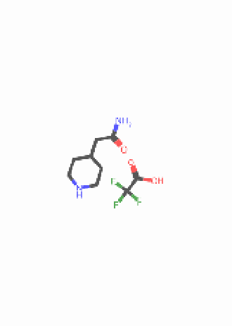 NC(=O)CC1CCNCC1.O=C(O)C(F)(F)F